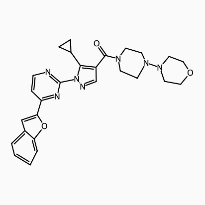 O=C(c1cnn(-c2nccc(-c3cc4ccccc4o3)n2)c1C1CC1)N1CCN(N2CCOCC2)CC1